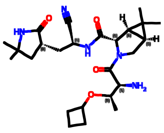 C[C@@H](OC1CCC1)[C@H](N)C(=O)N1C[C@H]2[C@@H]([C@H]1C(=O)N[C@H](C#N)C[C@@H]1CC(C)(C)NC1=O)C2(C)C